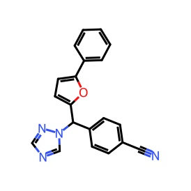 N#Cc1ccc(C(c2ccc(-c3ccccc3)o2)n2cncn2)cc1